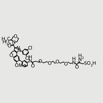 COc1cc2c(cc1-c1cccc(NC(=O)CCOCCOCCOCCOCCNC(=O)[C@@H](N)CS(=O)(=O)O)c1)-c1c(c(C(=O)N3CCOCC3(C)C)nn1-c1cc(Cl)cc(Cl)c1)CO2